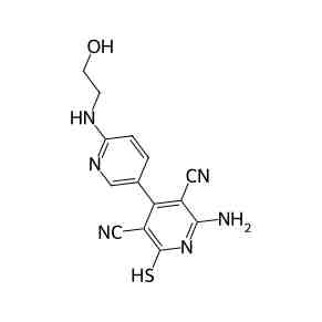 N#Cc1c(N)nc(S)c(C#N)c1-c1ccc(NCCO)nc1